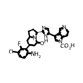 Nc1ccc(Cl)c(F)c1C1=CC(=O)N2C(CC[C@H]2c2ncc(-c3cn(C(=O)O)c4ccncc34)[nH]2)C1